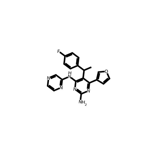 CC(c1ccc(F)cc1)c1c(Nc2cnccn2)nc(N)nc1-c1ccoc1